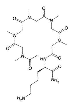 CC(=O)N(C)CC(=O)N(C)CC(=O)N(C)CC(=O)N(C)CC(=O)N(C)CC(=O)N[C@H](CCCCN)C(N)=O